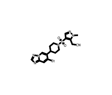 CCc1cc2ncnn2cc1C1CCN(S(=O)(=O)c2cnn(C)c2CC#N)CC1